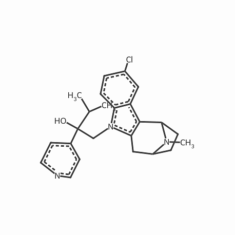 CC(C)C(O)(Cn1c2c(c3cc(Cl)ccc31)C1CCC(C2)N1C)c1ccncc1